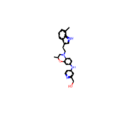 Cc1cccc2c(CCN3CC(C)Oc4cc(Nc5ccnc(CO)c5)ccc43)c[nH]c12